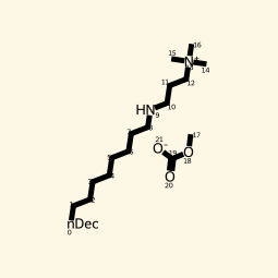 CCCCCCCCCCCCCCCCCCNCCC[N+](C)(C)C.COC(=O)[O-]